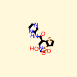 C[N+]1(O)C=C(C(=O)Nc2cnccn2)c2sccc2S1(=O)=O